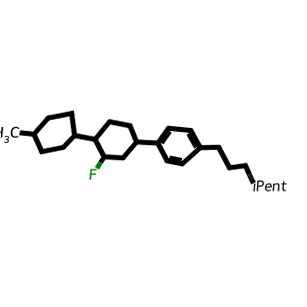 CCCC(C)CCCc1ccc(C2CCC(C3CCC(C)CC3)C(F)C2)cc1